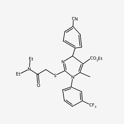 CCOC(=O)C1=C(C)N(c2cccc(C(F)(F)F)c2)C(SCC(=O)N(CC)CC)=NC1c1ccc(C#N)cc1